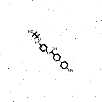 CCC[C@H]1CC[C@H](C2CCC(C(O)Oc3ccc(BOC(C)(C)C(C)(C)O)cc3)CC2)CC1